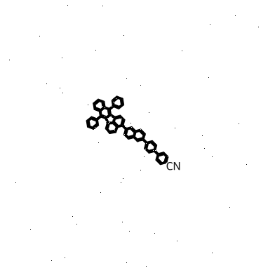 N#Cc1ccc(-c2ccc(-c3ccc4cc(-c5ccc6c7c(cccc57)-c5c-6c(-c6ccccc6)c6ccccc6c5-c5ccccc5)ccc4c3)cc2)cc1